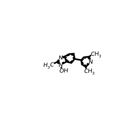 Cc1cc(-c2ccc3nc(C)n(O)c3c2)cc(C)n1